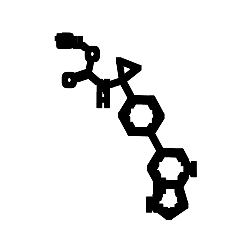 CC(C)(C)OC(=O)NC1(c2ccc(-c3cnc4ccnn4c3)cc2)CC1